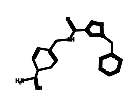 N=C(N)C1C=CC(CNC(=O)c2cnn(Cc3ccccc3)c2)=CC1